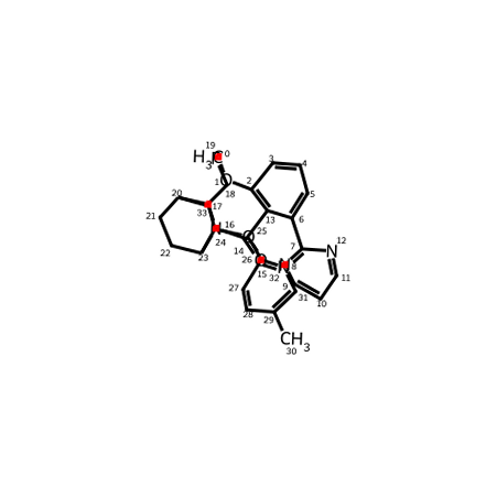 COc1cccc(-c2ncccn2)c1C(=O)N1C(CF)C2CCC1C(Oc1ccc(C)cn1)C2